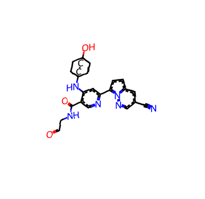 N#Cc1cnn2c(-c3cc(NC45CCC(O)(CC4)CC5)c(C(=O)NCC=O)cn3)ccc2c1